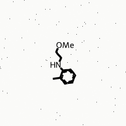 COCCNc1ccccc1C